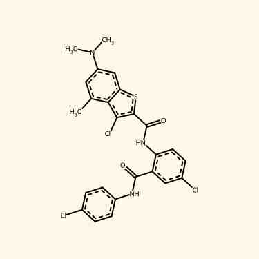 Cc1cc(N(C)C)cc2sc(C(=O)Nc3ccc(Cl)cc3C(=O)Nc3ccc(Cl)cc3)c(Cl)c12